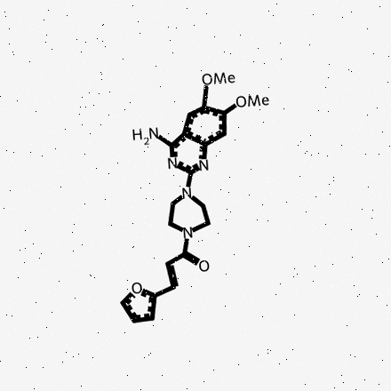 COc1cc2nc(N3CCN(C(=O)/C=C/c4ccco4)CC3)nc(N)c2cc1OC